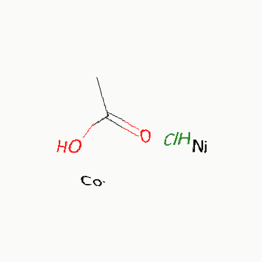 CC(=O)O.Cl.[Co].[Ni]